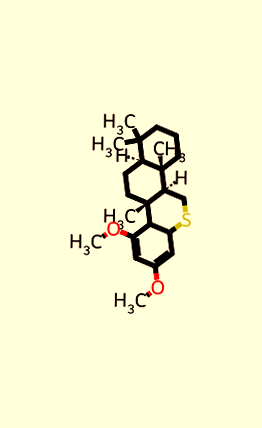 COC1=CC2SC[C@@H]3[C@@]4(C)CCCC(C)(C)[C@@H]4CC[C@@]3(C)C2C(OC)=C1